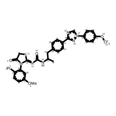 COc1ccc(C(C)C)c(N2C(=O)CS/C2=N\C(=O)NC(C)Cc2ccc(-c3ncn(-c4ccc(OC(F)(F)F)cc4)n3)cc2)c1